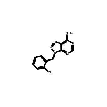 CNc1ncnc2c1nnn2Cc1ccccc1C(F)(F)F